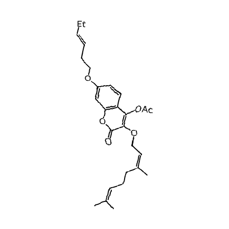 CCC=CCCOc1ccc2c(OC(C)=O)c(OCC=C(C)CCC=C(C)C)c(=O)oc2c1